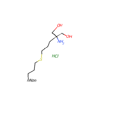 CCCCCCCCCCCCSCCCC(N)(CO)CO.Cl